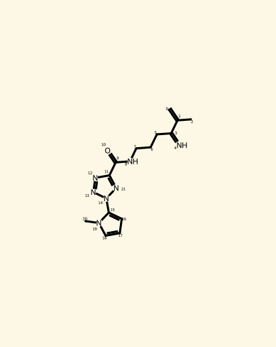 C=C(C)C(=N)CCCNC(=O)c1nnn(-c2cccn2C)n1